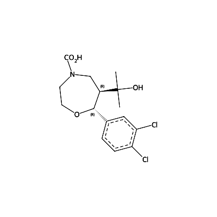 CC(C)(O)[C@@H]1CN(C(=O)O)CCO[C@H]1c1ccc(Cl)c(Cl)c1